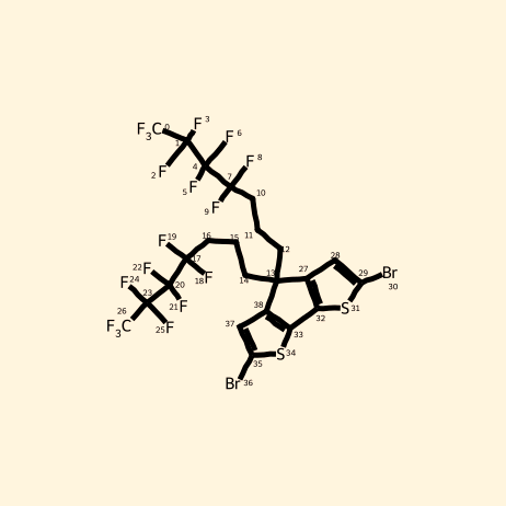 FC(F)(F)C(F)(F)C(F)(F)C(F)(F)CCCC1(CCCC(F)(F)C(F)(F)C(F)(F)C(F)(F)F)c2cc(Br)sc2-c2sc(Br)cc21